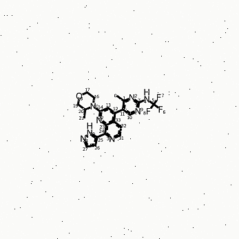 Cc1nc(NC(F)(F)F)ncc1-c1cc(N2CCOCC2C)nc2c(-c3ccn[nH]3)nccc12